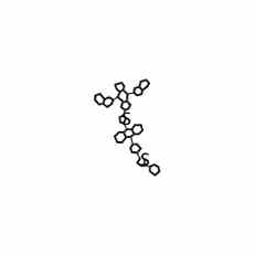 c1ccc(-c2ccc(-c3ccc(-c4c5ccccc5c(-c5ccc(-c6ccc7c(-c8ccc9ccccc9c8)c8ccccc8c(-c8ccc9ccccc9c8)c7c6)s5)c5ccccc45)cc3)s2)cc1